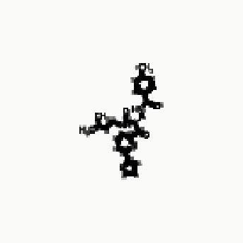 Cc1ccc(C(=O)NC[C@@H](C(=O)NCCC(C)C)C(=O)c2cccc(-c3cccs3)n2)cc1